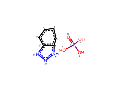 O=P(O)(O)O.c1ccc2[nH]nnc2c1